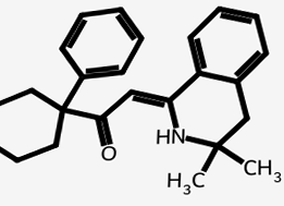 CC1(C)Cc2ccccc2/C(=C/C(=O)C2(c3ccccc3)CCCCC2)N1